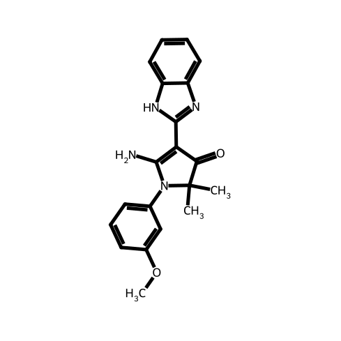 COc1cccc(N2C(N)=C(c3nc4ccccc4[nH]3)C(=O)C2(C)C)c1